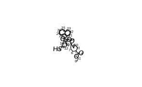 CCOC(=O)C1CCN(C(=O)[C@@H]2C[C@H](S)CN2S(=O)(=O)c2cccc3ccccc23)CC1